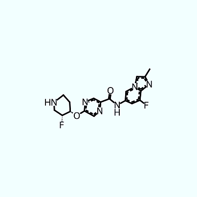 Cc1cn2cc(NC(=O)c3cnc(O[C@H]4CCNC[C@H]4F)cn3)cc(F)c2n1